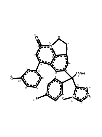 COC(c1ccc(F)cc1)(c1cc2c3c(c1)c(-c1cccc(Cl)c1)cc(=O)n3CC2)c1nncn1C